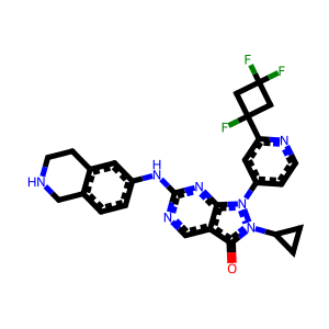 O=c1c2cnc(Nc3ccc4c(c3)CCNC4)nc2n(-c2ccnc(C3(F)CC(F)(F)C3)c2)n1C1CC1